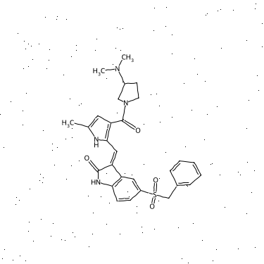 Cc1cc(C(=O)N2CCC(N(C)C)C2)c(/C=C2\C(=O)Nc3ccc(S(=O)(=O)Cc4ccccc4)cc32)[nH]1